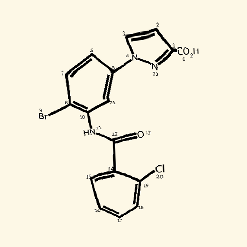 O=C(O)c1ccn(-c2ccc(Br)c(NC(=O)c3ccccc3Cl)c2)n1